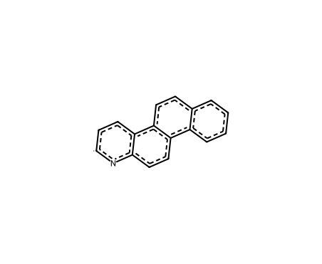 [c]1ccc2c(ccc3c4ccccc4ccc23)n1